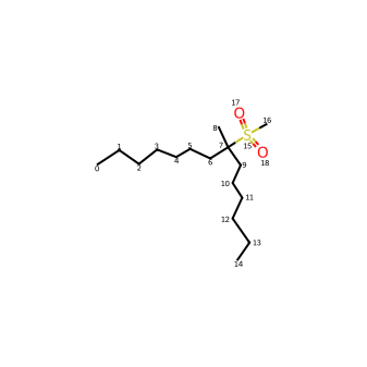 CCCCCCCC(C)(CCCCCC)S(C)(=O)=O